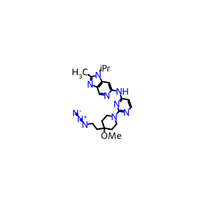 COC1(CCN=[N+]=[N-])CCN(c2nccc(Nc3cc4c(cn3)nc(C)n4C(C)C)n2)CC1